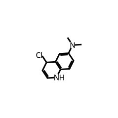 CN(C)c1ccc2c(c1)C(Cl)C=CN2